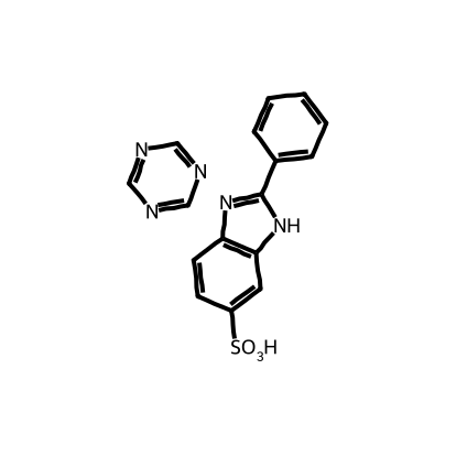 O=S(=O)(O)c1ccc2nc(-c3ccccc3)[nH]c2c1.c1ncncn1